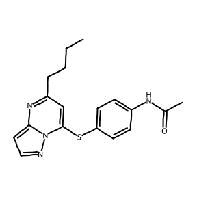 CCCCc1cc(Sc2ccc(NC(C)=O)cc2)n2nccc2n1